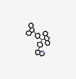 c1ccc2c(C(c3ccc(-c4cc5ccccc5c5ccccc45)cc3)c3ccc(-c4cccc5cccnc45)cc3)c3ccccc3cc2c1